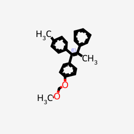 COCOc1ccc(/C(=C(\C)c2ccccc2)c2ccc(C)cc2)cc1